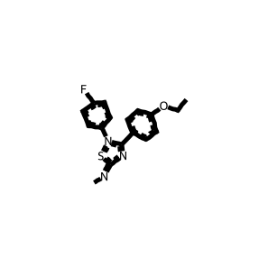 CCOc1ccc(-c2nc(=NC)sn2-c2ccc(F)cc2)cc1